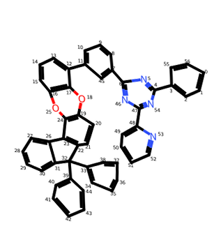 c1ccc(-c2nc(-c3cccc(-c4cccc5c4Oc4ccc6c(c4O5)-c4ccccc4C6(c4ccccc4)c4ccccc4)c3)nc(-c3ccccn3)n2)cc1